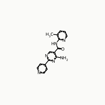 Cc1cccnc1NC(=O)c1cnc(-c2ccncc2)nc1N